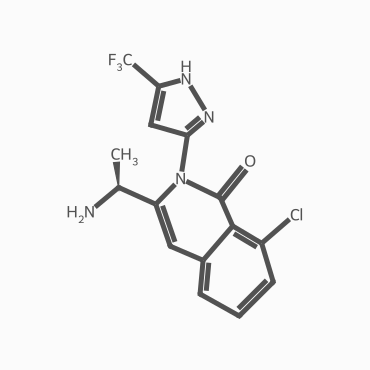 C[C@H](N)c1cc2cccc(Cl)c2c(=O)n1-c1cc(C(F)(F)F)[nH]n1